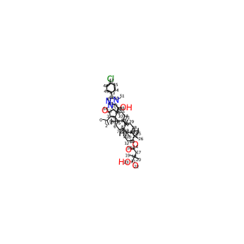 CC(C)C1=C2[C@H]3CC[C@@H]4[C@@]5(C)CC[C@H](OC(=O)CC(C)(C)C(=O)O)C(C)(C)[C@@H]5CC[C@@]4(C)[C@]3(C)CC[C@@]2([C@@H](O)c2nnc(-c3ccc(Cl)cc3)n2C)CC1=O